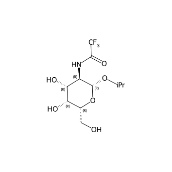 CC(C)O[C@@H]1O[C@H](CO)[C@H](O)[C@H](O)[C@H]1NC(=O)C(F)(F)F